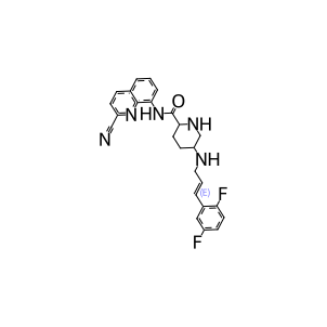 N#Cc1ccc2cccc(NC(=O)C3CCC(NC/C=C/c4cc(F)ccc4F)CN3)c2n1